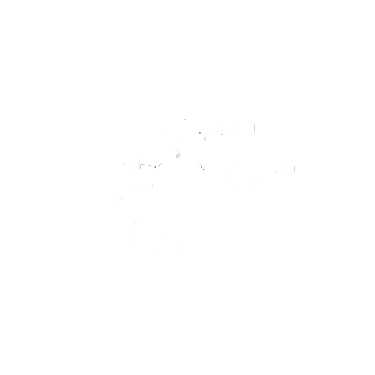 CC1(C)O[C@H](CNC(C2CCCC2)S(=O)(=O)c2ccc3c(c2)OCO3)[C@H](Cc2ccc(O)cc2)N1C(=O)O